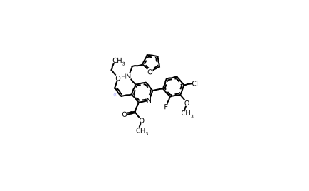 CCO/C=C\c1c(NCc2ccco2)cc(-c2ccc(Cl)c(OC)c2F)nc1C(=O)OC